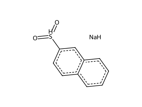 O=[SH](=O)c1ccc2ccccc2c1.[NaH]